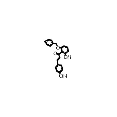 O=C(/C=C/c1ccc(O)cc1)c1c(O)cccc1OCc1ccccc1